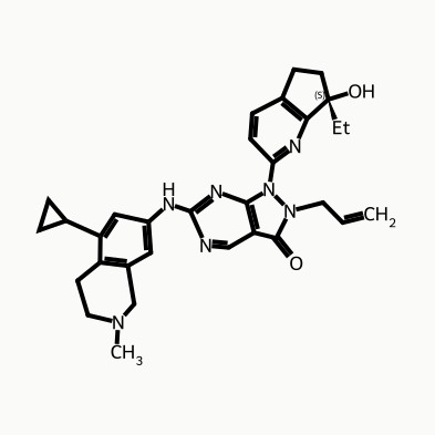 C=CCn1c(=O)c2cnc(Nc3cc4c(c(C5CC5)c3)CCN(C)C4)nc2n1-c1ccc2c(n1)[C@](O)(CC)CC2